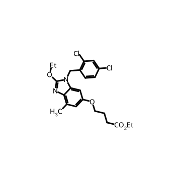 CCOC(=O)CCCOc1cc(C)c2nc(OCC)n(Cc3ccc(Cl)cc3Cl)c2c1